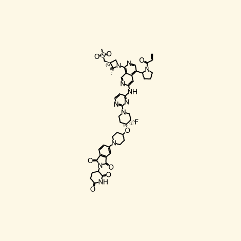 C=CC(=O)N1CCCC1c1cnc(N2C[C@H](CS(C)(=O)=O)[C@H]2C)c2cnc(Nc3ccnc(N4CC[C@@H](OC5CCN(c6ccc7c(c6)C(=O)N(C6CCC(=O)NC6=O)C7=O)CC5)[C@@H](F)C4)n3)cc12